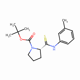 Cc1cccc(NC(=S)[C@@H]2CCCN2C(=O)OC(C)(C)C)c1